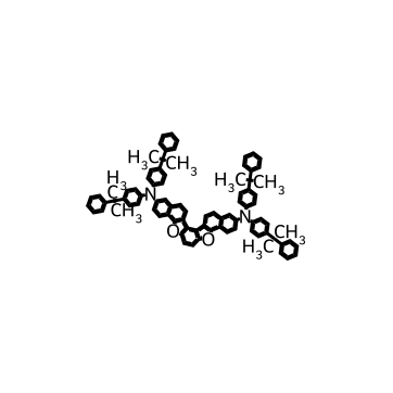 CC(C)(c1ccccc1)c1ccc(N(c2ccc(C(C)(C)c3ccccc3)cc2)c2ccc3c(ccc4c3oc3ccc5oc6c7ccc(N(c8ccc(C(C)(C)c9ccccc9)cc8)c8ccc(C(C)(C)c9ccccc9)cc8)cc7ccc6c5c34)c2)cc1